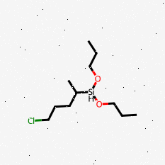 CCCO[SiH](OCCC)C(C)CCCCl